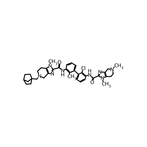 Cc1c(NC(=O)c2nc3c(n2C)CCN(CC24CCC(CC2)C4)C3)cccc1-c1cccc(NC(=O)c2nc3c(n2C)CCN(C)C3)c1Cl